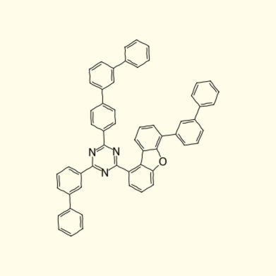 c1ccc(-c2cccc(-c3ccc(-c4nc(-c5cccc(-c6ccccc6)c5)nc(-c5cccc6oc7c(-c8cccc(-c9ccccc9)c8)cccc7c56)n4)cc3)c2)cc1